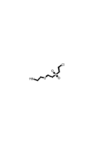 [NH]CCOCCS(=O)(=O)CCCl